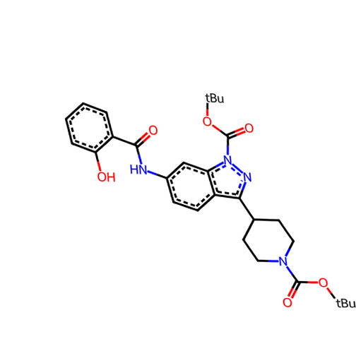 CC(C)(C)OC(=O)N1CCC(c2nn(C(=O)OC(C)(C)C)c3cc(NC(=O)c4ccccc4O)ccc23)CC1